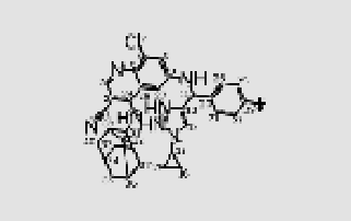 N#Cc1cnc2c(Cl)cc(NC(C3=CN(C4CC4)NN3)c3ccc(F)cc3)cc2c1NC1C2CC3CC(C2)CC1C3